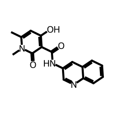 Cc1cc(O)c(C(=O)Nc2cnc3ccccc3c2)c(=O)n1C